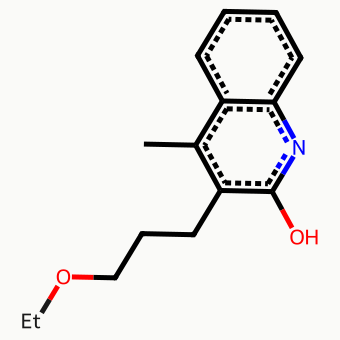 CCOCCCc1c(O)nc2ccccc2c1C